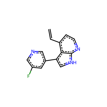 C=Cc1ccnc2[nH]cc(-c3cncc(F)c3)c12